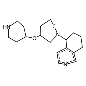 c1cc2c(cn1)CCCC2N1CCCC(OC2CCNCC2)C1